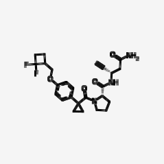 C#C[C@H](CC(N)=O)NC(=O)[C@@H]1CCCN1C(=O)C1(c2ccc(OCC3CCC3(F)F)cc2)CC1